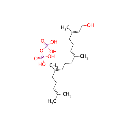 CC(C)=CCCC(C)=CCCC(C)=CCCC(C)=CCO.O=P(O)(O)OP(=O)(O)O